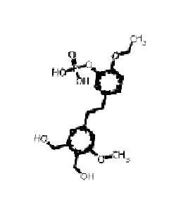 CCOc1ccc(CCc2cc(CO)c(CO)c(OC)c2)cc1OP(=O)(O)O